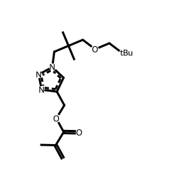 C=C(C)C(=O)OCc1cn(CC(C)(C)COCC(C)(C)C)nn1